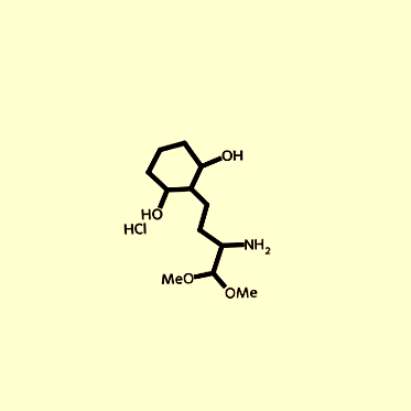 COC(OC)C(N)CCC1C(O)CCCC1O.Cl